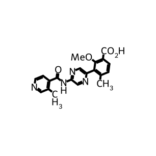 COc1c(C(=O)O)ccc(C)c1-c1cnc(NC(=O)c2ccncc2C)cn1